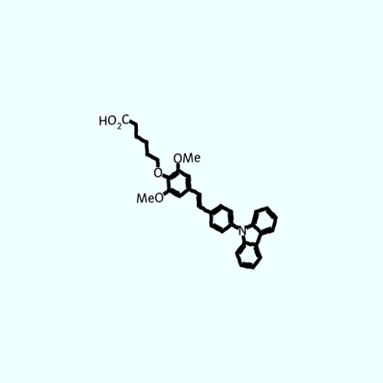 COc1cc(C=Cc2ccc(-n3c4ccccc4c4ccccc43)cc2)cc(OC)c1OCCCCCC(=O)O